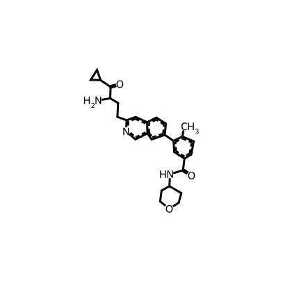 Cc1ccc(C(=O)NC2CCOCC2)cc1-c1ccc2cc(CCC(N)C(=O)C3CC3)ncc2c1